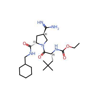 CCOC(=O)N[C@H](CC(C)(C)C)C(=O)N1C[C@H](C(=N)N)C[C@H]1C(=O)NCC1CCCCC1